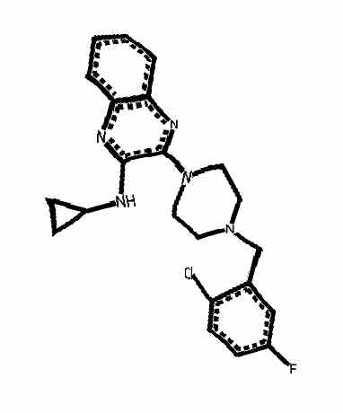 Fc1ccc(Cl)c(CN2CCN(c3nc4ccccc4nc3NC3CC3)CC2)c1